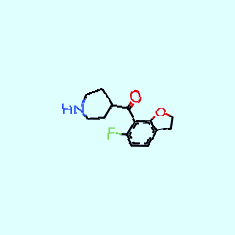 O=C(c1c(F)ccc2c1OCC2)C1CCNCC1